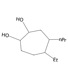 CCCC1CC(O)C(O)CCC1CC